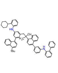 CC(C)(C)c1ccc(-c2cc(CC(C)(C)c3ccc(-c4cccc(Nc5ccccc5-c5ccccc5)c4)c4ccccc34)cc(Nc3ccccc3C3CCCCC3)c2)c2ccccc12